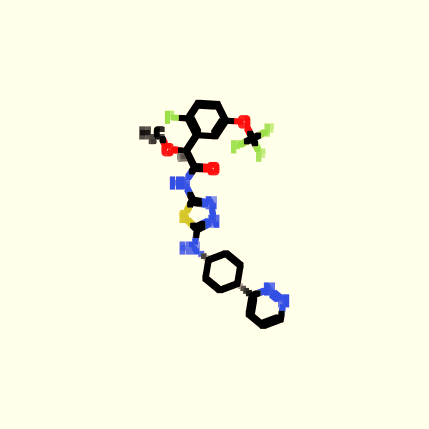 CO[C@H](C(=O)Nc1nnc(N[C@H]2CC[C@@H](c3cccnn3)CC2)s1)c1cc(OC(F)(F)F)ccc1F